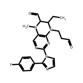 CCC1C(C=O)N(C)c2cnc(-n3ccnc3-c3ccc(F)cc3)nc2N1CCC=O